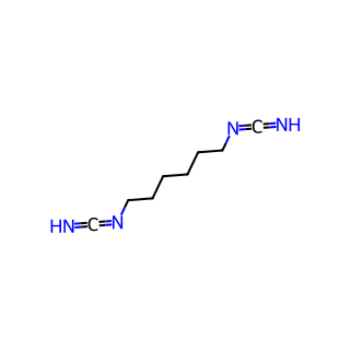 N=C=NCCCCCCN=C=N